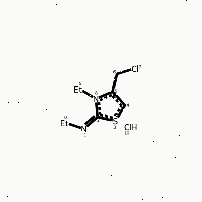 CCN=c1scc(CCl)n1CC.Cl